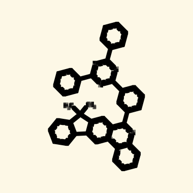 CC1(C)c2ccccc2-c2cc3c(cc21)c(-c1cccc(-c2nc(-c4ccccc4)nc(-c4ccccc4)n2)c1)nc1ccccc13